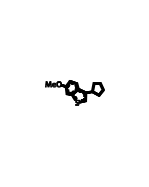 COc1ccc2c(C3CCCC3)csc2c1